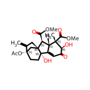 C=C1C[C@]23C[C@@]1(OC(C)=O)CC[C@]2(O)C1=CC(=O)[C@H](O)[C@@](C)(C(=O)OC)[C@H]1[C@@H]3C(=O)OC